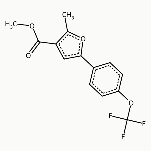 COC(=O)c1cc(-c2ccc(OC(F)(F)F)cc2)oc1C